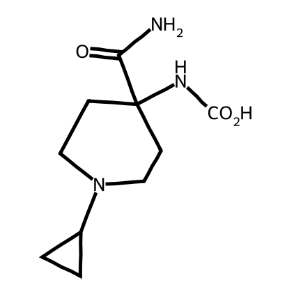 NC(=O)C1(NC(=O)O)CCN(C2CC2)CC1